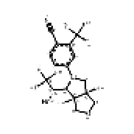 N#Cc1ccc(N2C[C@@H]3COC[C@@H]3C2[C@H](O)C(F)(F)F)cc1C(F)(F)F